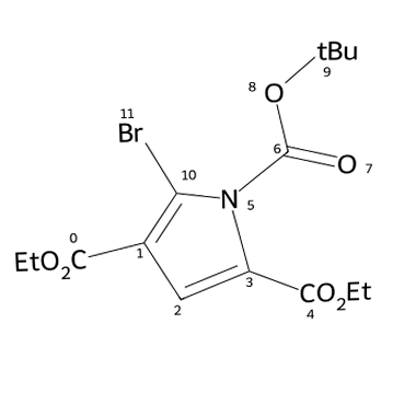 CCOC(=O)c1cc(C(=O)OCC)n(C(=O)OC(C)(C)C)c1Br